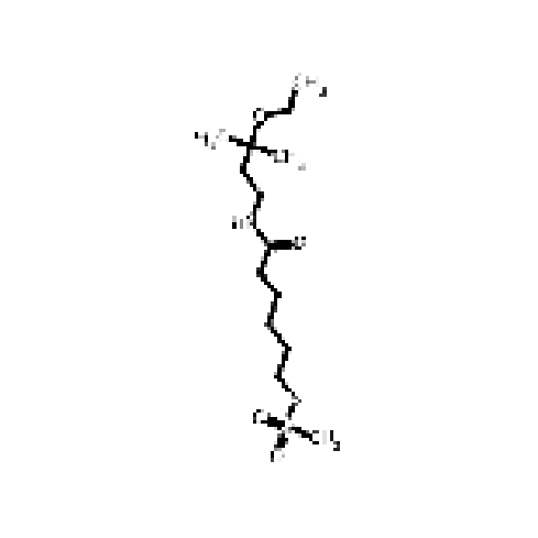 CCOC(C)(C)CCNC(=O)CCCCCSS(C)(=O)=O